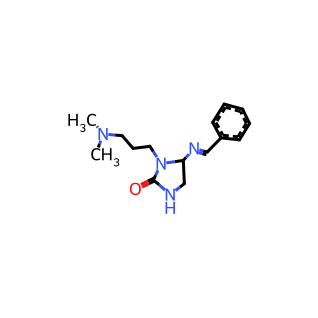 CN(C)CCCN1C(=O)NCC1N=Cc1ccccc1